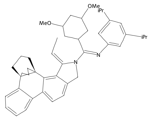 C/C=C1/c2c(ccc3c2[C@]24CCC[C@]2(CCC4)c2ccccc2-3)CN1/C(=N/c1cc(C(C)C)cc(C(C)C)c1)C1CC(OC)CC(OC)C1